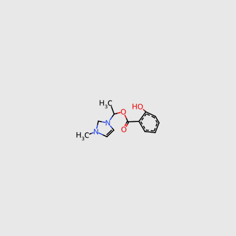 CC(OC(=O)c1ccccc1O)N1C=CN(C)C1